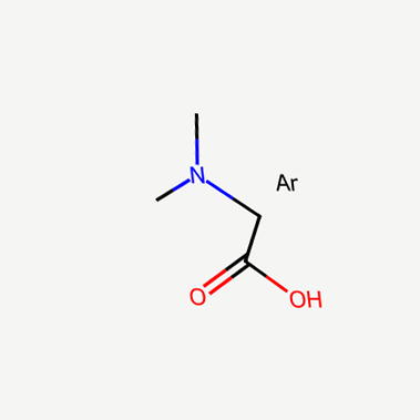 CN(C)CC(=O)O.[Ar]